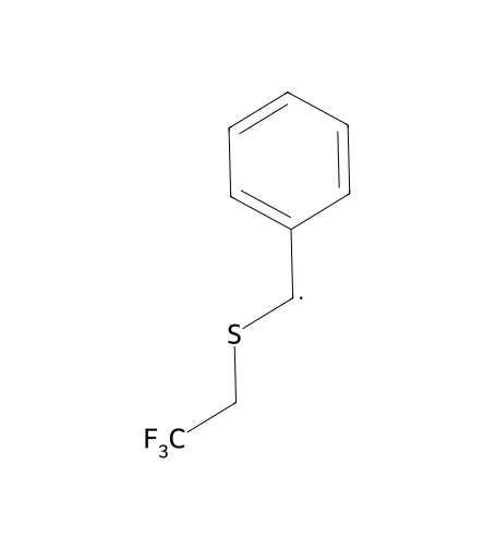 FC(F)(F)CS[CH]c1ccccc1